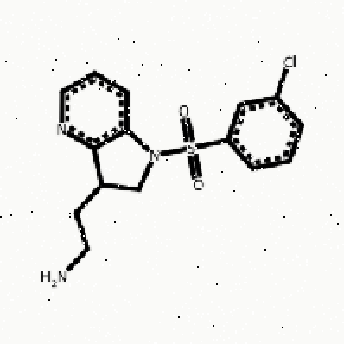 NCCC1CN(S(=O)(=O)c2cccc(Cl)c2)c2cccnc21